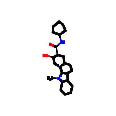 Cn1c2ccccc2c2ccc3cc(C(=O)Nc4ccccc4)c(O)cc3c21